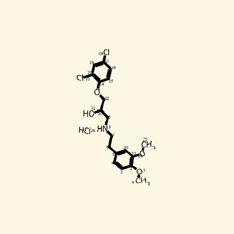 COc1ccc(CCNCC(O)COc2ccc(Cl)cc2Cl)cc1OC.Cl